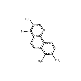 CCc1c(C)cnc2c1ccc1c(C)c(C)cnc12